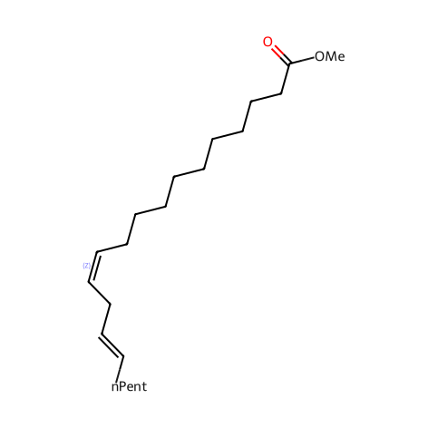 CCCCCC=CC/C=C\CCCCCCCCCC(=O)OC